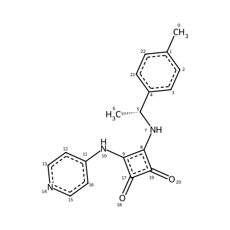 Cc1ccc([C@@H](C)Nc2c(Nc3ccncc3)c(=O)c2=O)cc1